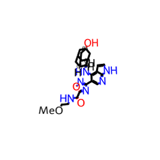 COCCNC(=O)c1nc(-c2cnc3[nH]ccc3c2N[C@H]2[C@@H]3CC4C[C@H]2C[C@@](O)(C4)C3)no1